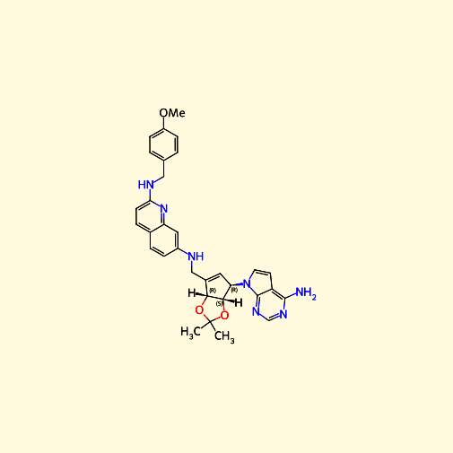 COc1ccc(CNc2ccc3ccc(NCC4=C[C@@H](n5ccc6c(N)ncnc65)[C@@H]5OC(C)(C)O[C@H]45)cc3n2)cc1